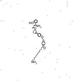 C=C(/C=C(\N)c1ccccc1O)OC1CCCN(c2ccc(OCCN3CCN(C(=O)CCCCCCCCCCCN)CC3)cc2)C1